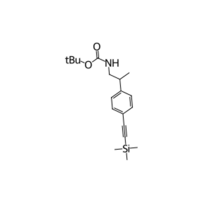 CC(CNC(=O)OC(C)(C)C)c1ccc(C#C[Si](C)(C)C)cc1